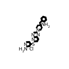 Nc1nccc(Sc2ccc3nc(N4CCC(N)(Cc5ccccc5)CC4)cnc3n2)c1Cl